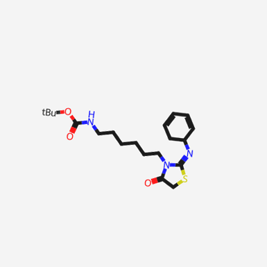 CC(C)(C)OC(=O)NCCCCCCN1C(=O)CS/C1=N/C1C=CC=CC1